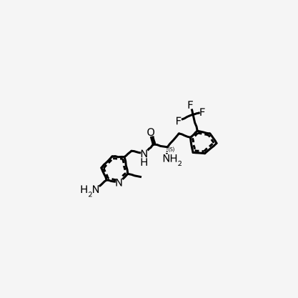 Cc1nc(N)ccc1CNC(=O)[C@@H](N)Cc1ccccc1C(F)(F)F